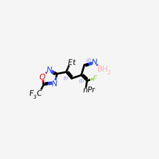 B\N=C/C(/C=C(\CC)c1noc(C(F)(F)F)n1)=C(\F)CCC